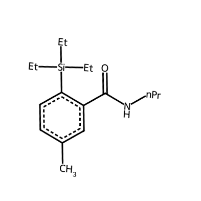 CCCNC(=O)c1cc(C)ccc1[Si](CC)(CC)CC